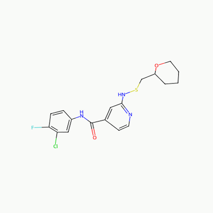 O=C(Nc1ccc(F)c(Cl)c1)c1ccnc(NSCC2CCCCO2)c1